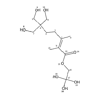 CC(CCC(CO)(CO)CO)=C(C)C(=O)OCC(O)(O)O